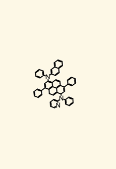 C1=C(c2ccccc2)c2ccc3c(N(c4ccccc4)c4ccc5ccccc5c4)cc(-c4ccccc4)c4c3c2C(=CC4)C1N(c1ccccc1)c1ccccn1